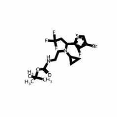 CC(C)(C)OC(=O)NCCN(C1CC1)C(CC(F)(F)F)c1scc(Br)c1F